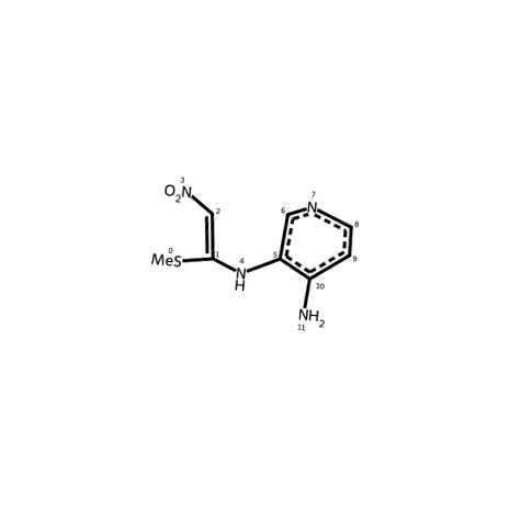 CSC(=C[N+](=O)[O-])Nc1cnccc1N